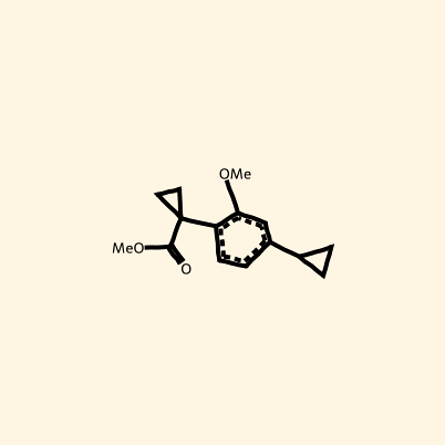 COC(=O)C1(c2ccc(C3CC3)cc2OC)CC1